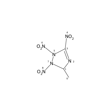 CC1N=C([N+](=O)[O-])N([N+](=O)[O-])N1[N+](=O)[O-]